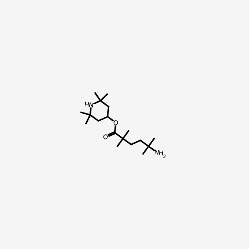 CC(C)(N)CCC(C)(C)C(=O)OC1CC(C)(C)NC(C)(C)C1